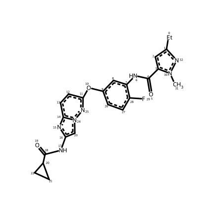 CCc1cc(C(=O)Nc2cc(Oc3ccc4nc(NC(=O)C5CC5)cn4n3)ccc2F)n(C)n1